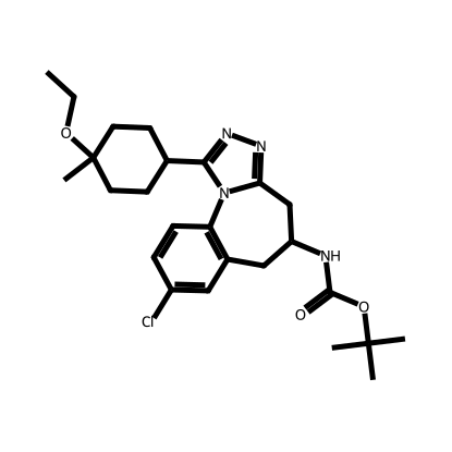 CCOC1(C)CCC(c2nnc3n2-c2ccc(Cl)cc2CC(NC(=O)OC(C)(C)C)C3)CC1